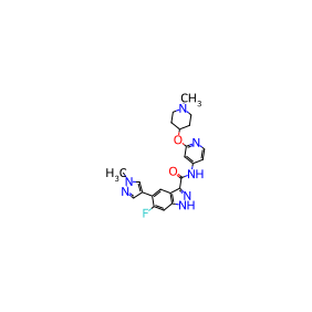 CN1CCC(Oc2cc(NC(=O)c3n[nH]c4cc(F)c(-c5cnn(C)c5)cc34)ccn2)CC1